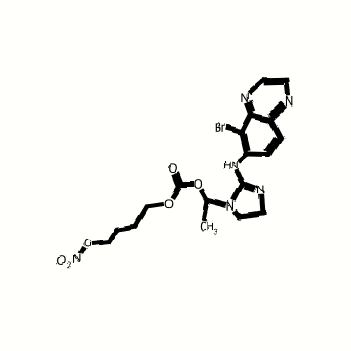 CC(OC(=O)OCCCCO[N+](=O)[O-])N1CCN=C1Nc1ccc2nccnc2c1Br